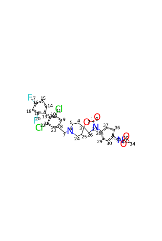 O=C1OC2(CCN(Cc3cc(Cl)c(-c4ccc(F)cc4F)c(Cl)c3)CC2)CN1c1ccc(N2OCO2)cc1